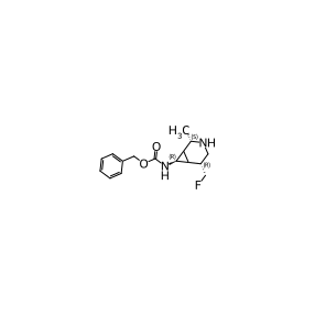 C[C@@H]1NC[C@H](CF)C2C1[C@@H]2NC(=O)OCc1ccccc1